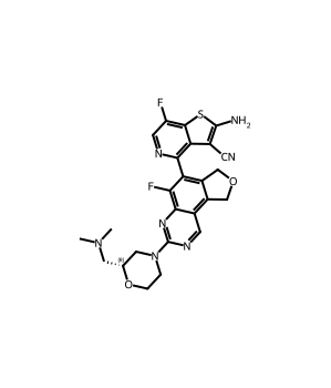 CN(C)C[C@@H]1CN(c2ncc3c4c(c(-c5ncc(F)c6sc(N)c(C#N)c56)c(F)c3n2)COC4)CCO1